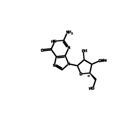 COC1C(O)C(n2cnc3c(=O)[nH]c(N)nc32)O[C@@H]1CO